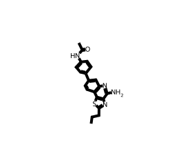 CCCc1nc2c(N)nc3cc(-c4ccc(NC(C)=O)cc4)ccc3c2s1